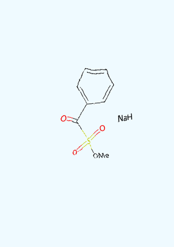 COS(=O)(=O)C(=O)c1ccccc1.[NaH]